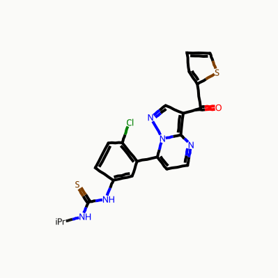 CC(C)NC(=S)Nc1ccc(Cl)c(-c2ccnc3c(C(=O)c4cccs4)cnn23)c1